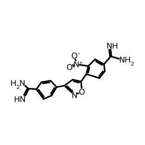 N=C(N)c1ccc(-c2cc(-c3ccc(C(=N)N)cc3[N+](=O)[O-])on2)cc1